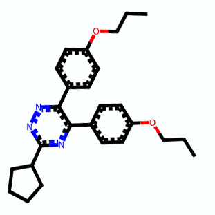 CCCOc1ccc(-c2nnc(C3CCCC3)nc2-c2ccc(OCCC)cc2)cc1